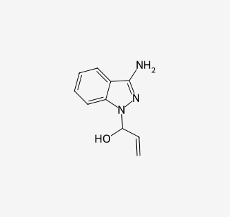 C=CC(O)n1nc(N)c2ccccc21